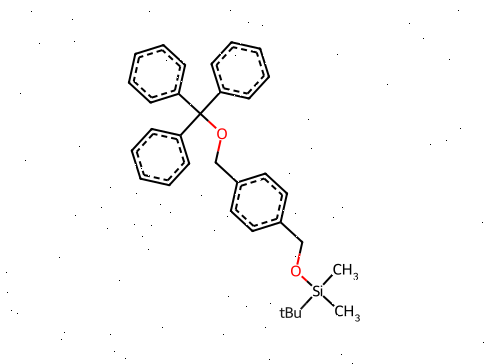 CC(C)(C)[Si](C)(C)OCc1ccc(COC(c2ccccc2)(c2ccccc2)c2ccccc2)cc1